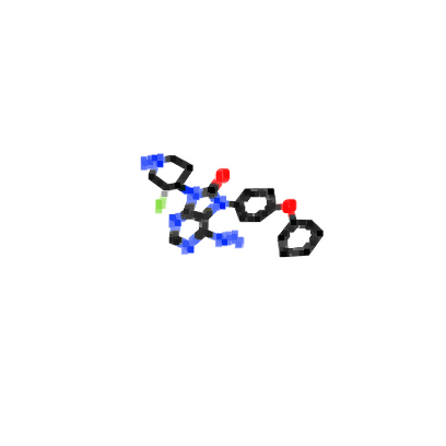 Nc1ncnc2c1n(-c1ccc(Oc3ccccc3)cc1)c(=O)n2[C@@H]1CCNC[C@H]1F